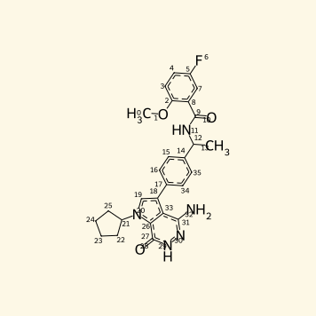 COc1ccc(F)cc1C(=O)NC(C)c1ccc(-c2cn(C3CCCC3)c3c(=O)[nH]nc(N)c23)cc1